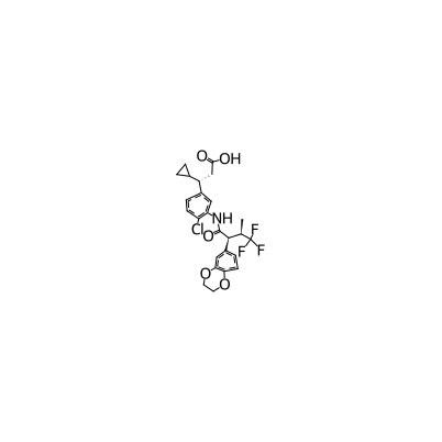 C[C@H]([C@H](C(=O)Nc1cc([C@@H](CC(=O)O)C2CC2)ccc1Cl)c1ccc2c(c1)OCCO2)C(F)(F)F